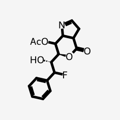 CC(=O)OC1C2N=CCC2C(=O)O[C@H]1[C@@H](O)C(F)c1ccccc1